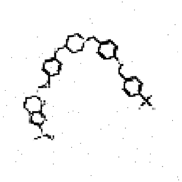 O=[N+]([O-])c1cn2c(n1)O[C@@H](COc1ccc(OC3CCN(Cc4ccc(OCc5ccc(C(F)(F)F)cc5)cc4)CC3)cc1)CC2